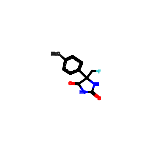 COc1ccc(C2(CF)NC(=O)NC2=O)cc1